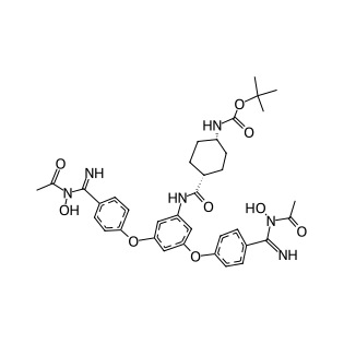 CC(=O)N(O)C(=N)c1ccc(Oc2cc(NC(=O)[C@H]3CC[C@@H](NC(=O)OC(C)(C)C)CC3)cc(Oc3ccc(C(=N)N(O)C(C)=O)cc3)c2)cc1